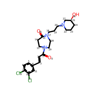 O=C(C=Cc1ccc(Cl)c(Cl)c1)N1CCC(=O)N(CCCN2CCC[C@H](O)C2)CC1